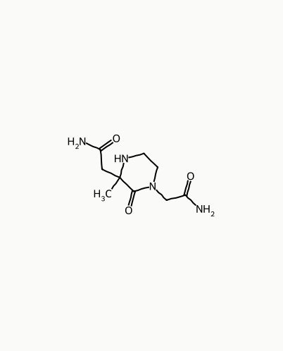 CC1(CC(N)=O)NCCN(CC(N)=O)C1=O